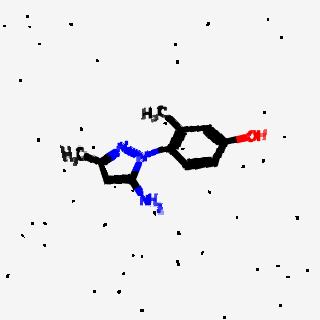 Cc1cc(N)n(-c2ccc(O)cc2C)n1